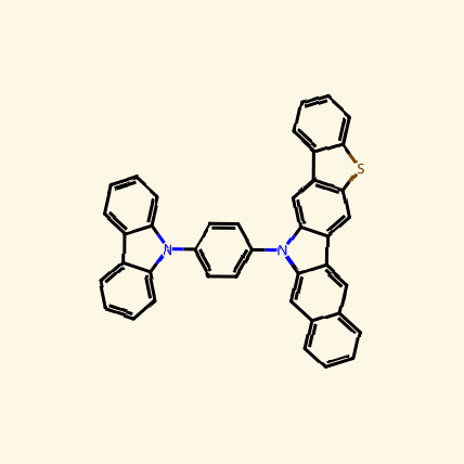 c1ccc2cc3c(cc2c1)c1cc2sc4ccccc4c2cc1n3-c1ccc(-n2c3ccccc3c3ccccc32)cc1